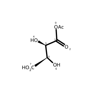 CC(=O)OC(=O)[C@H](O)[C@@H](O)C(=O)O